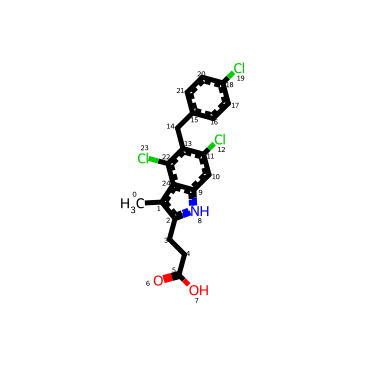 Cc1c(CCC(=O)O)[nH]c2cc(Cl)c(Cc3ccc(Cl)cc3)c(Cl)c12